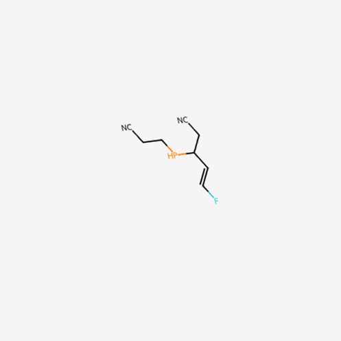 N#CCCPC(/C=C/F)CC#N